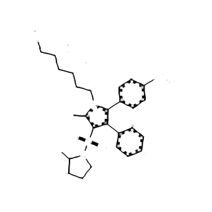 CC(C)c1c(S(=O)(=O)N2CCCC2C)c(-c2ccccc2)c(-c2ccc(F)cc2)n1CC[C@@H](O)C[C@@H](O)CC(=O)[O-].[Na+]